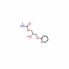 CNC(=O)OCC(COc1ccccn1)OC